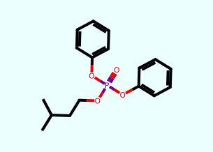 CC(C)CCOP(=O)(Oc1ccccc1)Oc1ccccc1